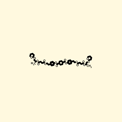 C[C@@H](COC1CCCCO1)OC(=O)CCC(=O)OCCc1ccc(OC(=O)C2CCC(C(=O)Oc3ccc(CCOC(=O)CCC(=O)O[C@@H](C)COC4CCCCO4)cc3)CC2)cc1